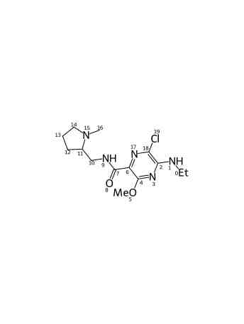 CCNc1nc(OC)c(C(=O)NCC2CCCN2C)nc1Cl